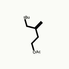 C=C(CCOC(C)=O)CC(C)(C)C